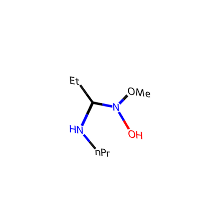 CCCNC(CC)N(O)OC